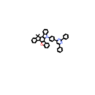 CC1(C)c2ccccc2-c2c1c1c3ccccc3n(-c3ccc(-c4cc(-c5ccccc5)nc(-c5ccccc5)n4)cc3)c1c1c2oc2ccccc21